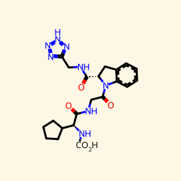 O=C(O)N[C@H](C(=O)NCC(=O)N1c2ccccc2C[C@H]1C(=O)NCc1nn[nH]n1)C1CCCC1